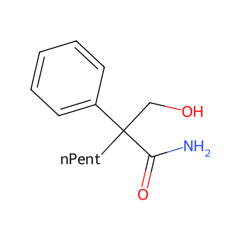 CCCCCC(CO)(C(N)=O)c1ccccc1